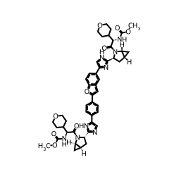 COC(=O)N[C@H](C(=O)N1[C@@H]2C[C@@H]2C[C@H]1c1nc(-c2ccc3oc(-c4ccc(-c5cnc([C@@H]6C[C@H]7C[C@H]7N6C(=O)[C@@H](NC(=O)OC)C6CCOCC6)[nH]5)cc4)cc3c2)c[nH]1)C1CCOCC1